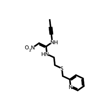 CC#CN/C(=C/[N+](=O)[O-])NCCSCc1ccccn1